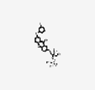 NC(CO)(CCc1ccc2oc3ccc(Oc4cccc(F)c4)cc3c(=O)c2c1)COP(=O)(O)O